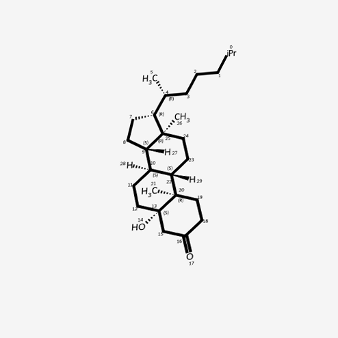 CC(C)CCC[C@@H](C)[C@H]1CC[C@H]2[C@@H]3CC[C@]4(O)CC(=O)CC[C@]4(C)[C@H]3CC[C@]12C